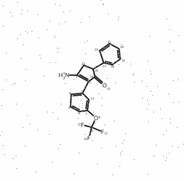 NC1=C(c2cccc(OC(F)(F)F)c2)C(=O)C(c2ccccc2)C1